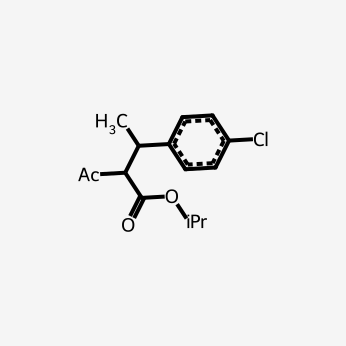 CC(=O)C(C(=O)OC(C)C)C(C)c1ccc(Cl)cc1